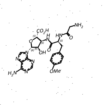 COc1ccc(C[C@H](NC(=O)CN)C(=O)N[C@H]2[C@@H](O)[C@H](n3cnc4c(N)ncnc43)O[C@@H]2C(=O)O)cc1